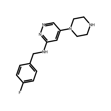 Fc1ccc(CNc2cc(N3CCNCC3)cnn2)cc1